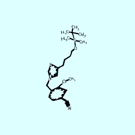 COc1cc(C#N)ccc1Cn1cnc(CCCCO[Si](C)(C)C(C)(C)C)c1